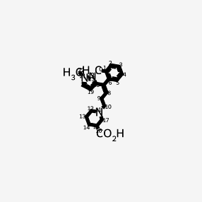 Cc1ccccc1/C(=C/CCN1CCCC(C(=O)O)C1)c1ccn(C)n1